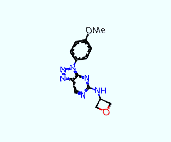 COc1ccc(-n2nnc3cnc(NC4COC4)nc32)cc1